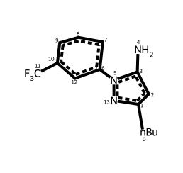 CCCCc1cc(N)n(-c2cccc(C(F)(F)F)c2)n1